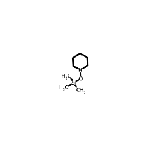 C[Si](C)(C)ON1CCCCC1